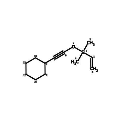 C=C[Si](C)(C)OC#CC1CCCCC1